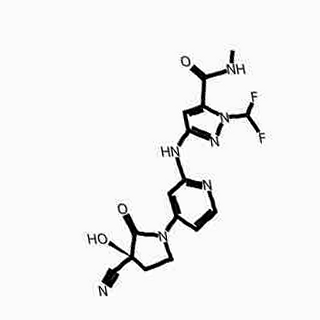 CNC(=O)c1cc(Nc2cc(N3CC[C@](O)(C#N)C3=O)ccn2)nn1C(F)F